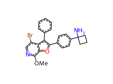 COc1ncc(Br)c2c(-c3ccccc3)c(-c3ccc(C4(N)CCC4)cc3)oc12